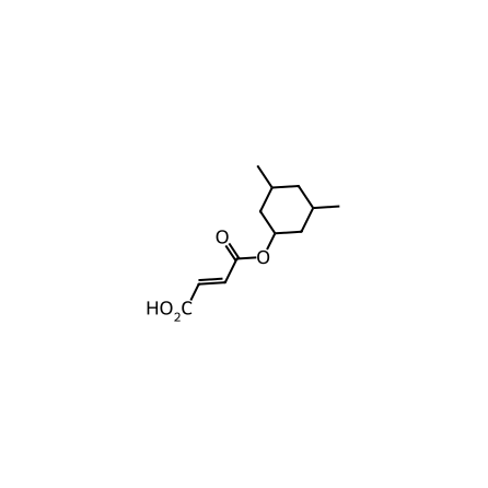 CC1CC(C)CC(OC(=O)/C=C/C(=O)O)C1